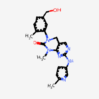 Cc1ccc(Nc2ncc3c(n2)N(C)C(=O)N(c2cc(CO)ccc2C)C3)cn1